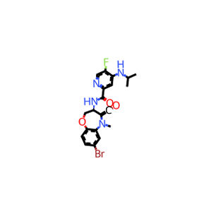 CC(C)Nc1cc(C(=O)N[C@@H]2COc3ccc(Br)cc3N(C)C2=C=O)ncc1F